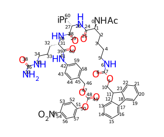 CC(=O)N[C@@H](CCCCNC(=O)OCC1c2ccccc2-c2ccccc21)C(=O)N[C@H](C(=O)N[C@@H](CCCNC(N)=O)C(=O)Nc1ccc(COC(=O)Oc2ccc([N+](=O)[O-])cc2)cc1)C(C)C